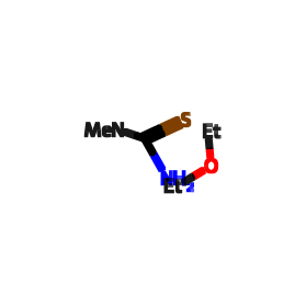 CCOCC.CNC(N)=S